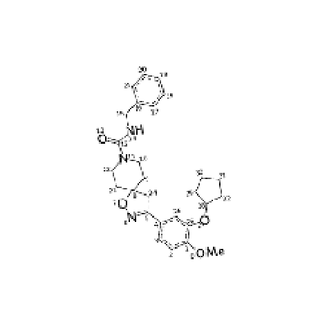 COc1ccc(C2=NOC3(CCN(C(=O)NCc4ccccc4)CC3)C2)cc1OC1CCCC1